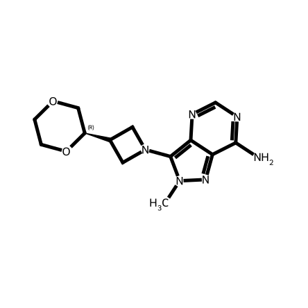 Cn1nc2c(N)ncnc2c1N1CC([C@@H]2COCCO2)C1